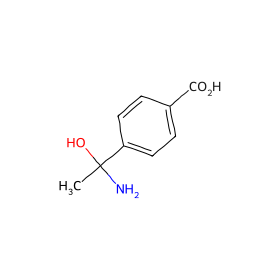 CC(N)(O)c1ccc(C(=O)O)cc1